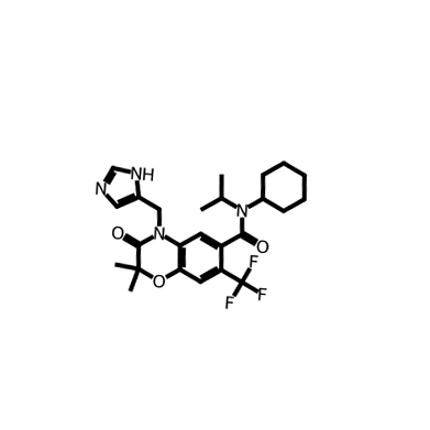 CC(C)N(C(=O)c1cc2c(cc1C(F)(F)F)OC(C)(C)C(=O)N2Cc1cnc[nH]1)C1CCCCC1